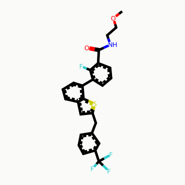 COCCNC(=O)c1cccc(-c2cccc3cc(Cc4cccc(C(F)(F)F)c4)sc23)c1F